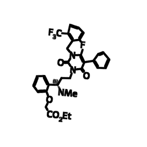 CCOC(=O)COc1ccccc1[C@H](CCn1c(=O)c(-c2ccccc2)c(C)n(Cc2c(F)cccc2C(F)(F)F)c1=O)NC